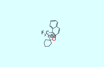 CCCCC1(Oc2ccc3ccccc3c2C(F)(F)F)CCCCC1